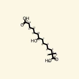 CC(C)(CCCCCC(O)CCCCCC(=O)O)C(=O)O